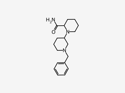 NC(=O)C1CCCCN1C1CCCN(Cc2ccccc2)C1